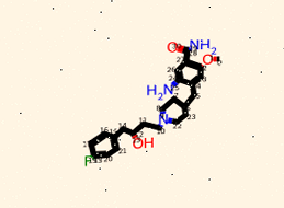 COc1cc(CC2CCN(CCC(O)Cc3ccc(F)cc3)CC2)c(N)cc1C(N)=O